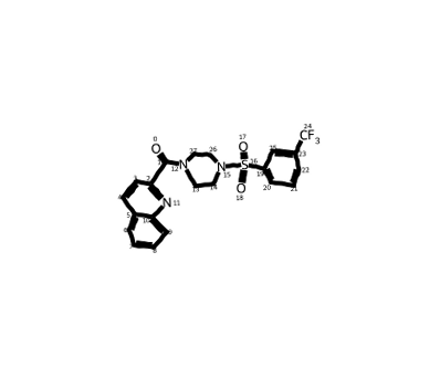 O=C(c1ccc2ccccc2n1)N1CCN(S(=O)(=O)c2cccc(C(F)(F)F)c2)CC1